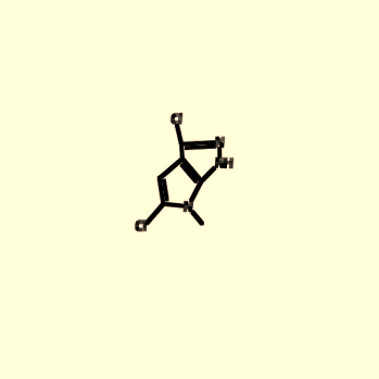 Cn1c(Cl)cc2c(Cl)n[nH]c21